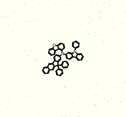 c1ccc(-n2c3ccccc3c3ccc(N(c4ccc5c(c4)C(c4ccccc4)(c4ccccc4)c4cc6ccccc6cc4-5)c4cccc5oc6ccccc6c45)cc32)cc1